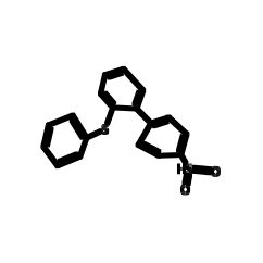 O=[SH](=O)c1ccc(-c2ccccc2Sc2ccccc2)cc1